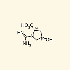 N=C(N)N1C[C@H](O)C[C@H]1C(=O)O